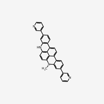 CN1c2cc(-c3cccnc3)ccc2-c2ccc3c4c(ccc1c24)Nc1cc(-c2cccnc2)ccc1-3